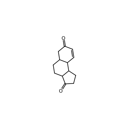 O=C1C=CC2C(CCC3C(=O)CCC32)C1